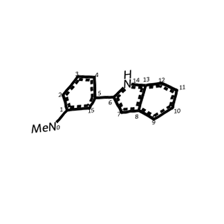 CNc1cccc(-c2cc3ccccc3[nH]2)c1